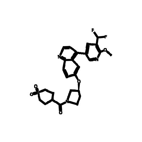 COc1ncc(-c2ccnc3ccc(O[C@H]4CCN(C(=O)C5CCS(=O)(=O)CC5)C4)cc23)cc1C(F)F